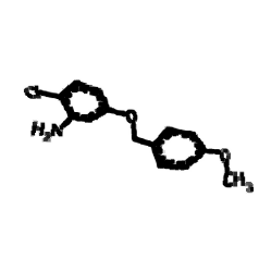 COc1ccc(COc2ccc(Cl)c(N)c2)cc1